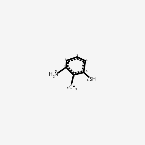 Nc1cccc(S)c1C(F)(F)F